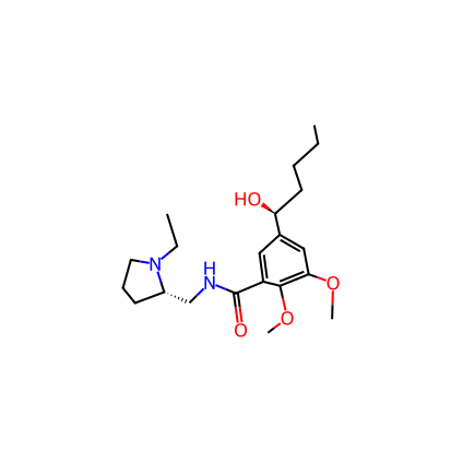 CCCC[C@H](O)c1cc(OC)c(OC)c(C(=O)NC[C@@H]2CCCN2CC)c1